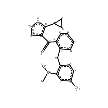 C[S+]([O-])c1cc(C(F)(F)F)ccc1Cc1ccccc1C(=O)c1cnoc1C1CC1